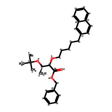 CC(C)(C)[Si](C)(C)O[C@@H](C(=O)O)[C@@H](OCCCCCc1ccc2ccccc2c1)C(=O)OCc1ccccc1